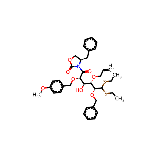 C=CCO[C@@H]([C@@H](O)[C@H](OCc1ccc(OC)cc1)C(=O)N1C(=O)OC[C@H]1Cc1ccccc1)[C@@H](OCc1ccccc1)C(SCC)SCC